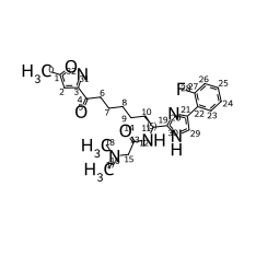 Cc1cc(C(=O)CCCCC[C@H](NC(=O)CN(C)C)c2nc(-c3ccccc3F)c[nH]2)no1